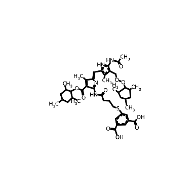 CC(=O)Nc1[nH]c(/C=C2\N=C(NC(=O)CCCSc3cc(C(=O)O)cc(C(=O)O)c3)C(C(=O)OC3C(C)CC(C)CC3C)=C2C)c(C)c1COOC1C(C)CC(C)CC1C